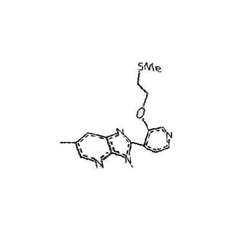 CSCCOc1cnccc1-c1nc2cc(C)cnc2n1C